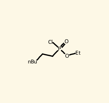 CCCCCCP(=O)(Cl)OCC